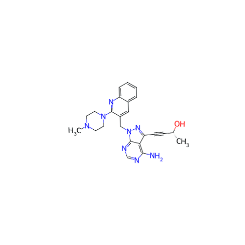 C[C@@H](O)C#Cc1nn(Cc2cc3ccccc3nc2N2CCN(C)CC2)c2ncnc(N)c12